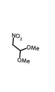 COC(C[N+](=O)[O-])OC